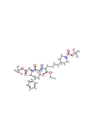 CCOC(=O)C(CCCCC1CCN(C(=O)OC(C)(C)C)CC1)N[C@H]1CC[C@H](c2ccccc2)CN(CC(=O)OC(C)(C)C)C1=O